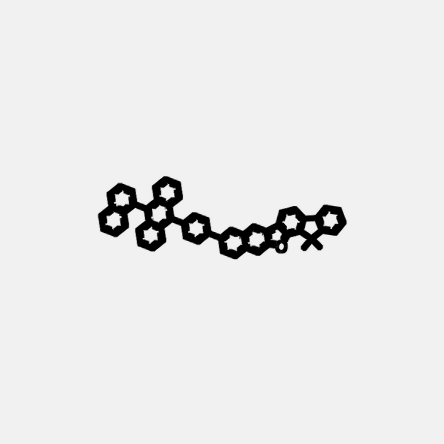 CC1(C)c2ccccc2-c2ccc3c(oc4cc5ccc(-c6ccc(-c7c8ccccc8c(-c8cccc9ccccc89)c8ccccc78)cc6)cc5cc43)c21